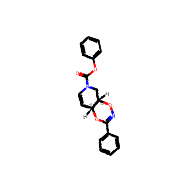 O=C(Oc1ccccc1)N1C=C[C@H]2OC(c3ccccc3)=NO[C@H]2C1